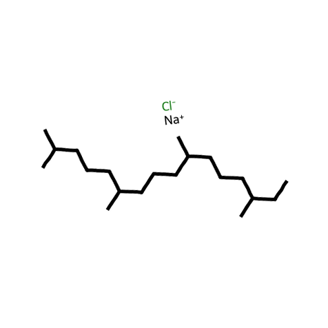 CCC(C)CCCC(C)CCCC(C)CCCC(C)C.[Cl-].[Na+]